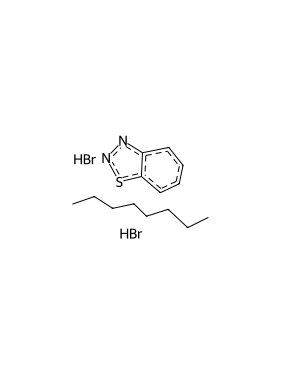 Br.Br.CCCCCCCC.c1ccc2snnc2c1